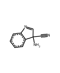 N#CC1(N)C=Nc2ccccc21